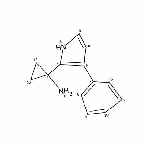 NC1(c2[nH]ccc2-c2ccccc2)CC1